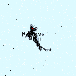 CCCCCC1CCC(c2ccc(-c3ccc(C(=O)Nc4ccc(-c5cc6c7c(c8c(c6cc5OC)OC(c5ccc(F)cc5)(c5ccc(F)cc5)C=C8)C(C)(C)c5c-7cc(C)cc5C(F)(F)F)cc4)cc3)cc2)CC1